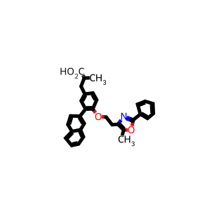 Cc1oc(-c2ccccc2)nc1CCOc1ccc(CC(C)C(=O)O)cc1-c1ccc2ccccc2c1